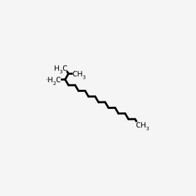 [CH2]C(CCCCCCCCCCCCCCC)C(C)C